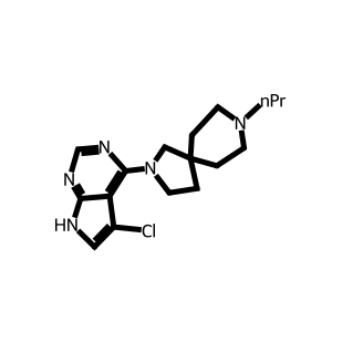 CCCN1CCC2(CC1)CCN(c1ncnc3[nH]cc(Cl)c13)C2